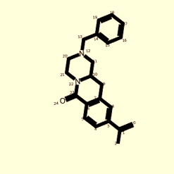 C=C(C)c1ccc2c(c1)CC1CN(Cc3ccccc3)CCN1C2=O